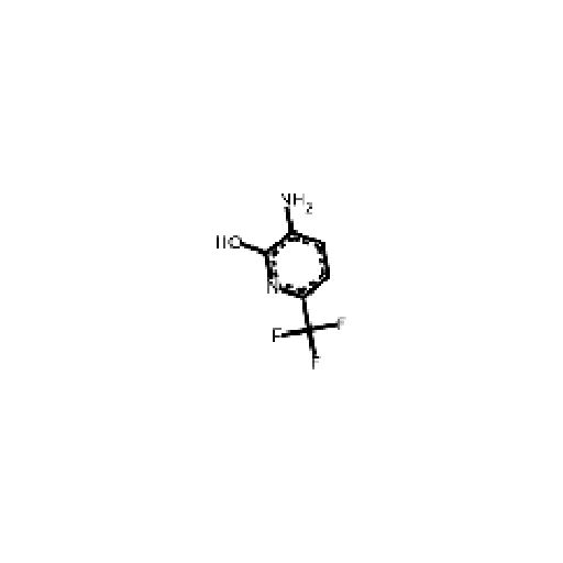 Nc1ccc(C(F)(F)F)nc1O